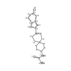 CC(C)(C)C(=O)NC1CCC2(CC1)CCN(c1nc3cc(Cl)ccc3o1)CC2